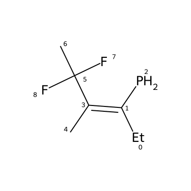 CC/C(P)=C(\C)C(C)(F)F